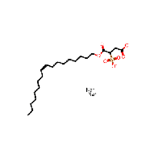 CCCCCCCC/C=C\CCCCCCCCOC(=O)C(CC(=O)[O-])S(=O)(=O)[O-].[Na+].[Na+]